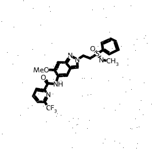 CN=S(=O)(CCn1cc2cc(NC(=O)c3cccc(C(F)(F)F)n3)c(OC)cc2n1)c1ccccc1